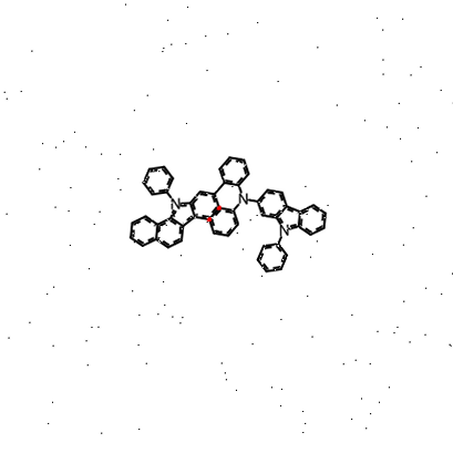 c1ccc(N(c2ccc3c4ccccc4n(-c4ccccc4)c3c2)c2ccccc2-c2ccc3c4ccc5ccccc5c4n(-c4ccccc4)c3c2)cc1